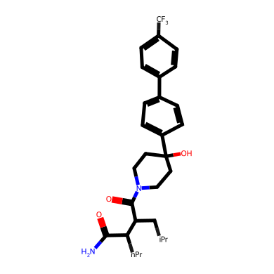 CCCC(C(N)=O)C(CC(C)C)C(=O)N1CCC(O)(c2ccc(-c3ccc(C(F)(F)F)cc3)cc2)CC1